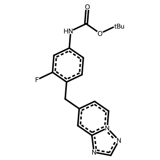 CC(C)(C)OC(=O)Nc1ccc(Cc2ccn3ncnc3c2)c(F)c1